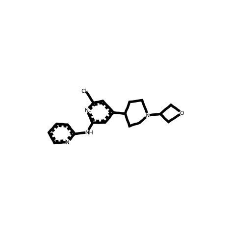 Clc1cc(C2CCN(C3COC3)CC2)cc(Nc2ccccn2)n1